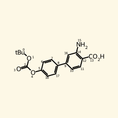 CC(C)(C)OC(=O)Oc1ccc(-c2ccc(C(=O)O)c(N)c2)cc1